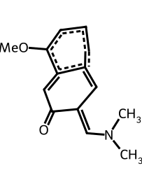 COc1cccc2c1=CC(=O)C(=CN(C)C)C=2